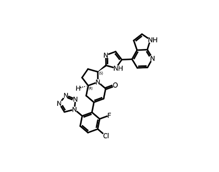 O=C1C=C(c2c(-n3cnnn3)ccc(Cl)c2F)C[C@H]2CC[C@@H](c3ncc(-c4ccnc5[nH]ccc45)[nH]3)N12